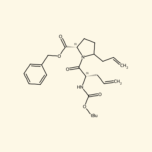 C=CCC1CC[C@@H](C(=O)OCc2ccccc2)N1C(=O)[C@H](CC=C)NC(=O)OC(C)(C)C